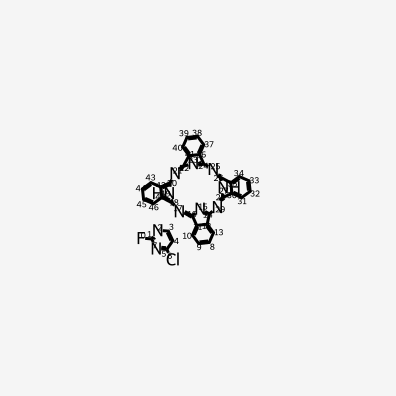 Fc1nccc(Cl)n1.c1ccc2c(c1)-c1nc-2nc2[nH]c(nc3nc(nc4[nH]c(n1)c1ccccc41)-c1ccccc1-3)c1ccccc21